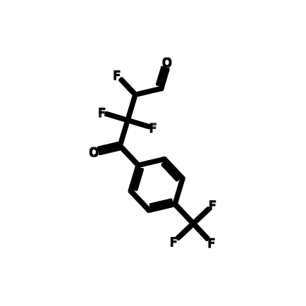 O=CC(F)C(F)(F)C(=O)c1ccc(C(F)(F)F)cc1